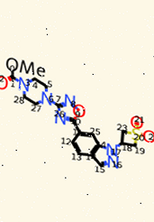 COC(=O)N1CCN(c2noc(-c3ccc4cnn(C5CS(=O)(=O)C5)c4c3)n2)CC1